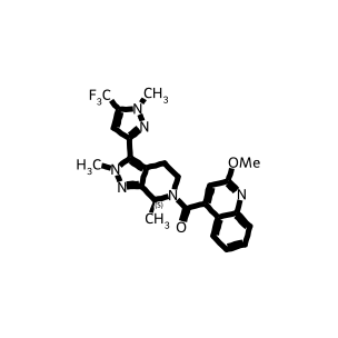 COc1cc(C(=O)N2CCc3c(nn(C)c3-c3cc(C(F)(F)F)n(C)n3)[C@@H]2C)c2ccccc2n1